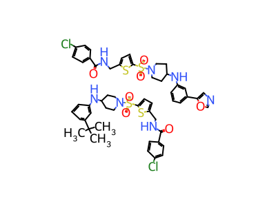 CC(C)(C)c1cccc(NC2CCN(S(=O)(=O)c3ccc(CNC(=O)c4ccc(Cl)cc4)s3)CC2)c1.O=C(NCc1ccc(S(=O)(=O)N2CCC(Nc3cccc(-c4cnco4)c3)CC2)s1)c1ccc(Cl)cc1